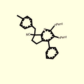 CCCCCc1nc2c(c(-c3ccccc3)c1CCCCC)CCC2(C#N)Cc1ccc(C)cc1